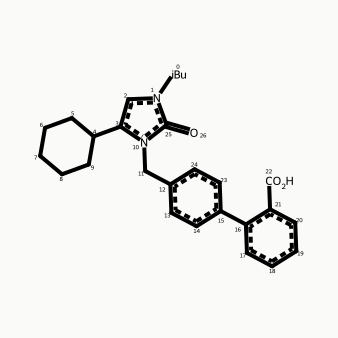 CCC(C)n1cc(C2CCCCC2)n(Cc2ccc(-c3ccccc3C(=O)O)cc2)c1=O